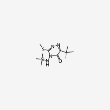 CSc1nnc(C(C)(C)C)c(=O)n1N[Si](C)(C)C